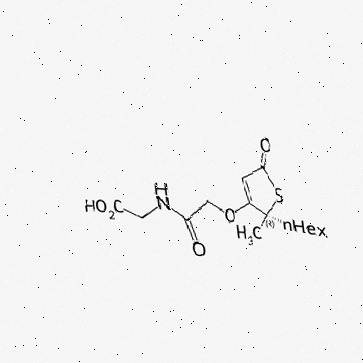 CCCCCC[C@@]1(C)SC(=O)C=C1OCC(=O)NCC(=O)O